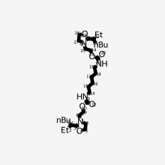 CCCCC(CC)C1OCCN1CCOC(=O)NCCCCCCNC(=O)OCCN1CCOC1C(CC)CCCC